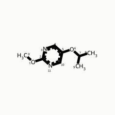 COc1ncc(OC(C)C)cn1